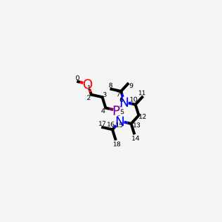 COCCCP1N(C(C)C)C(C)CC(C)N1C(C)C